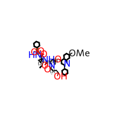 C=C[C@@H]1C[C@]1(NC(=O)[C@@H]1C[C@@H](Oc2cc(-c3ccccc3)nc3cc(OC)ccc23)CN1C(=O)[C@@H](C)CCO)C(=O)NS(=O)(=O)c1ccccc1